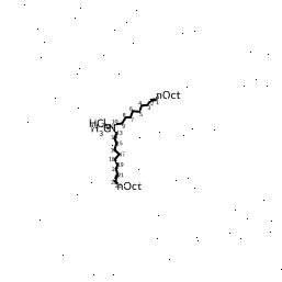 CCCCCCCCC=CCCCCCCCCN(C)CCCCCCCCC=CCCCCCCCC.Cl